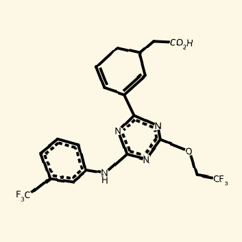 O=C(O)CC1C=C(c2nc(Nc3cccc(C(F)(F)F)c3)nc(OCC(F)(F)F)n2)C=CC1